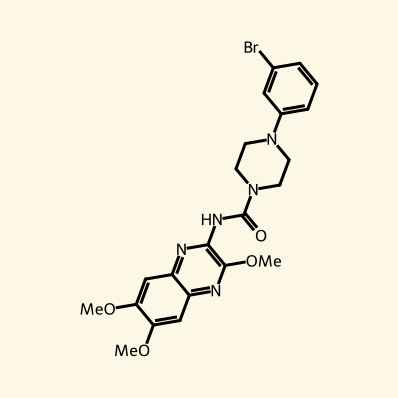 COc1cc2nc(NC(=O)N3CCN(c4cccc(Br)c4)CC3)c(OC)nc2cc1OC